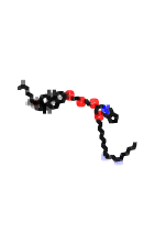 CCCCC/C=C\C/C=C\CCCCCCCCOCC(CN1CC2CCCC2C1)OCCOCCO[C@H]1CC[C@@]2(C)C(=CC[C@H]3[C@@H]4CC[C@H]([C@H](C)CCCC(C)C)[C@@]4(C)CC[C@@H]32)C1